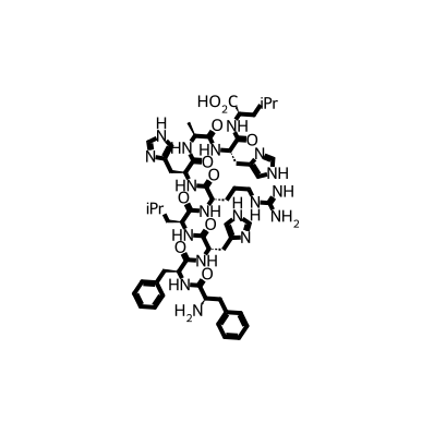 CC(C)C[C@H](NC(=O)[C@H](Cc1c[nH]cn1)NC(=O)[C@H](C)NC(=O)[C@H](Cc1c[nH]cn1)NC(=O)[C@H](CCCNC(=N)N)NC(=O)[C@H](CC(C)C)NC(=O)[C@H](Cc1c[nH]cn1)NC(=O)[C@H](Cc1ccccc1)NC(=O)[C@@H](N)Cc1ccccc1)C(=O)O